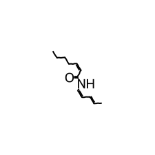 C/C=C/C=C\NC(=O)/C=C\CCCC